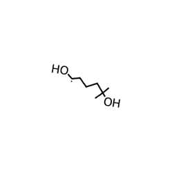 CC(C)(O)CCC[CH]O